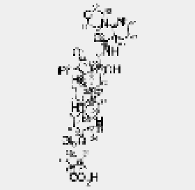 CC(C)C1=C2[C@H]3CC[C@@H]4[C@@]5(C)CC[C@H](OC(=O)[C@H]6C[C@@H](C(=O)O)C6(C)C)C(C)(C)[C@@H]5CC[C@@]4(C)[C@]3(C)CC[C@@]2([C@@H](O)CNC(=O)c2cccnc2N2CCOCC2)CC1=O